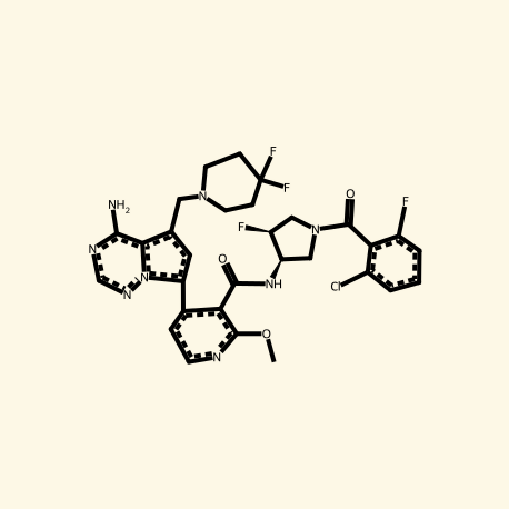 COc1nccc(-c2cc(CN3CCC(F)(F)CC3)c3c(N)ncnn23)c1C(=O)N[C@@H]1CN(C(=O)c2c(F)cccc2Cl)C[C@@H]1F